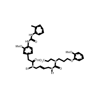 CCN(CC=CCN(CC)C(=O)N(CCCOc1ccccc1OC)CCC(=O)O)C(=O)Cc1ccc(NC(=O)Nc2ccccc2C)c(OC)c1